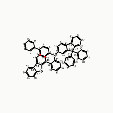 c1ccc(-c2ccc(N(c3ccc4c(c3)C(c3ccccc3)(c3ccccc3)c3ccccc3-4)c3ccccc3-c3cccc4c3sc3ccccc34)cc2)cc1